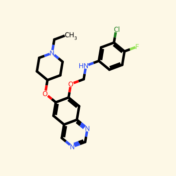 CCN1CCC(Oc2cc3cncnc3cc2OCNc2ccc(F)c(Cl)c2)CC1